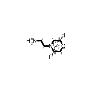 NCCN1C[C@@H]2CC[C@H]1CO2